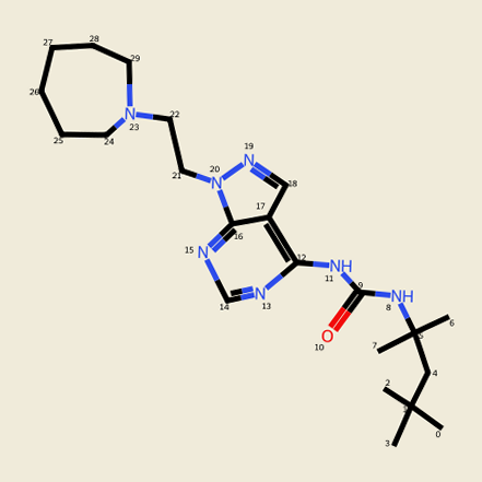 CC(C)(C)CC(C)(C)NC(=O)Nc1ncnc2c1cnn2CCN1CCCCCC1